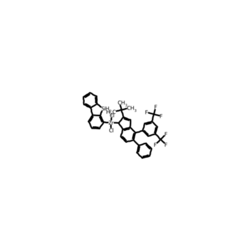 CC(C)(C)C1=Cc2c(ccc(-c3ccccc3)c2-c2cc(C(F)(F)F)cc(C(F)(F)F)c2)[CH]1[Zr]([Cl])([Cl])[c]1cccc2c1[SiH2]c1ccccc1-2